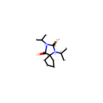 CC(C)N1C(=O)C2(CCCC2)N(C(C)C)C1=S